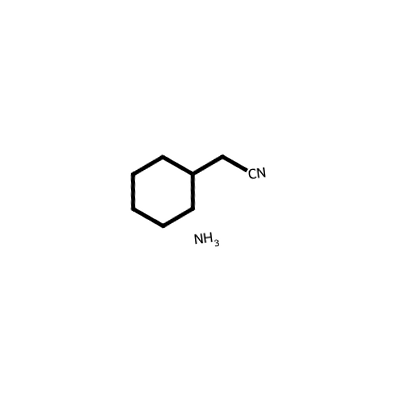 N.N#CCC1CCCCC1